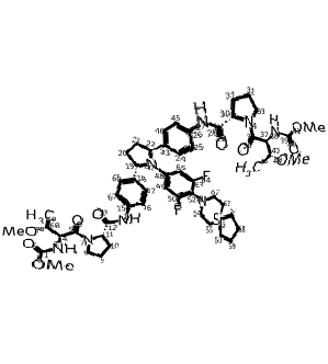 COC(=O)N[C@H](C(=O)N1CCC[C@H]1C(=O)Nc1ccc([C@@H]2CC[C@@H](c3ccc(NC(=O)[C@@H]4CCCN4C(=O)[C@@H](NC(=O)OC)[C@@H](C)OC)cc3)N2c2cc(F)c(N3CC[Si]4(CCCC4)CC3)c(F)c2)cc1)[C@@H](C)OC